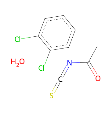 CC(=O)N=C=S.Clc1ccccc1Cl.O